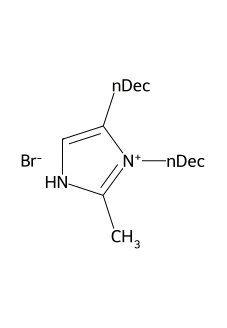 CCCCCCCCCCc1c[nH]c(C)[n+]1CCCCCCCCCC.[Br-]